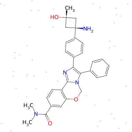 CN(C)C(=O)c1ccc2c(c1)OCn1c-2nc(-c2ccc([C@]3(N)C[C@](C)(O)C3)cc2)c1-c1ccccc1